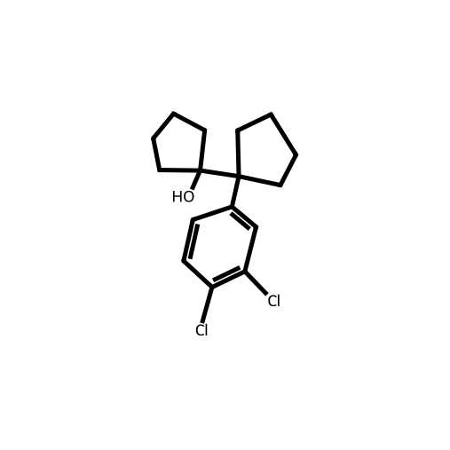 OC1(C2(c3ccc(Cl)c(Cl)c3)CCCC2)CCCC1